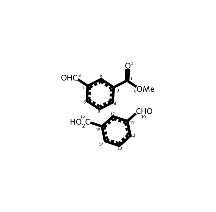 COC(=O)c1cccc(C=O)c1.O=Cc1cccc(C(=O)O)c1